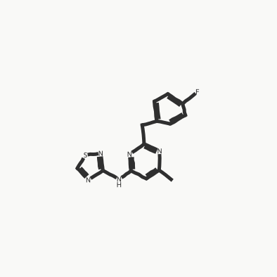 Cc1cc(Nc2ncsn2)nc(Cc2ccc(F)cc2)n1